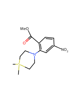 COC(=O)c1ccc([N+](=O)[O-])cc1N1CCS(C)(C)CC1